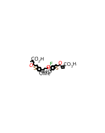 COc1cc2sc(C(=O)C[C@H](C)C(=O)O)cc2cc1CCCOc1c(OC)cc2sc(C(=O)[C@@H]3CC[C@H]3C(=O)O)cc2c1F